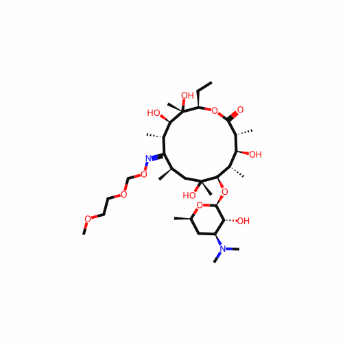 CC[C@H]1OC(=O)[C@H](C)[C@@H](O)[C@H](C)[C@@H](O[C@@H]2O[C@H](C)C[C@H](N(C)C)[C@H]2O)[C@](C)(O)C[C@@H](C)/C(=N\OCOCCOC)[C@H](C)[C@@H](O)[C@]1(C)O